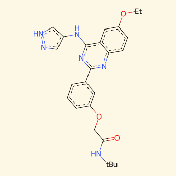 CCOc1ccc2nc(-c3cccc(OCC(=O)NC(C)(C)C)c3)nc(Nc3cn[nH]c3)c2c1